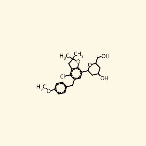 COc1ccc(Cc2cc(C3CC(O)CC(CO)O3)c3c(c2Cl)CC(C)(C)O3)cc1